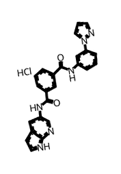 Cl.O=C(Nc1cccc(-n2cccn2)c1)c1cccc(C(=O)Nc2cnc3[nH]ccc3c2)c1